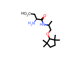 CC(COC1C(C)(C)CCC1(C)C)NC(=O)[C@@H](N)CC(=O)O